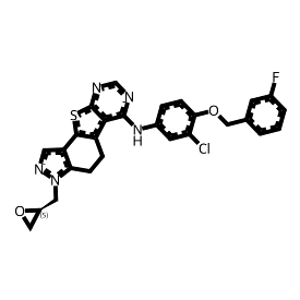 Fc1cccc(COc2ccc(Nc3ncnc4sc5c(c34)CCc3c-5cnn3C[C@H]3CO3)cc2Cl)c1